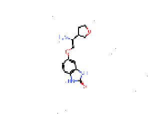 NC(COc1ccc2[nH]c(=O)[nH]c2c1)C1CCOC1